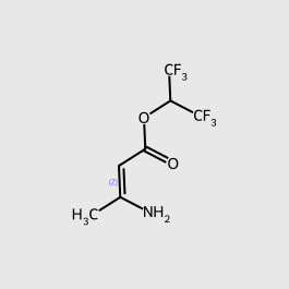 C/C(N)=C/C(=O)OC(C(F)(F)F)C(F)(F)F